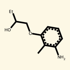 CCC(O)COc1cccc(N)c1C